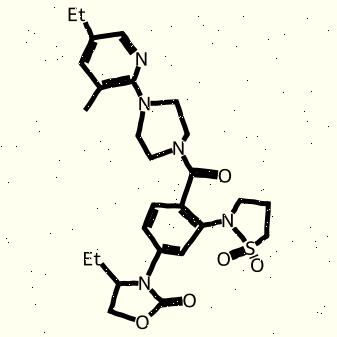 CCc1cnc(N2CCN(C(=O)c3ccc(N4C(=O)OCC4CC)cc3N3CCCS3(=O)=O)CC2)c(C)c1